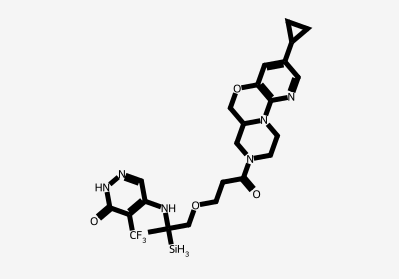 CC([SiH3])(COCCC(=O)N1CCN2c3ncc(C4CC4)cc3OCC2C1)Nc1cn[nH]c(=O)c1C(F)(F)F